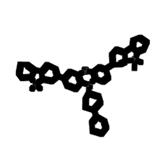 CS1(C)c2ccccc2-c2ccc(-c3ccc4c(c3)Oc3cc(-c5ccc6c(c5)S(C)(C)c5ccccc5-6)ccc3N4c3ccc(-c4ccccc4)cc3)cc21